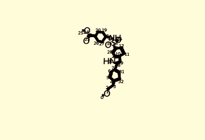 COCCc1ccc(-c2cc3ccc(S(=O)(=O)NC4CCC(C(=O)OC)CC4)cc3[nH]2)cc1